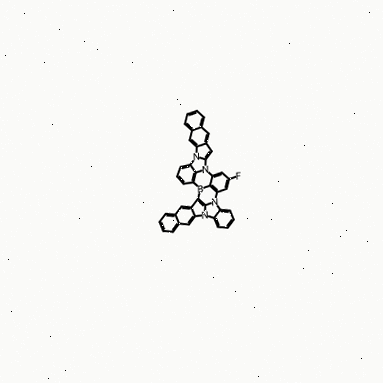 Fc1cc2c3c(c1)-n1c4ccccc4n4c5cc6ccccc6cc5c(c14)B3c1cccc3c1n-2c1cc2cc4ccccc4cc2n31